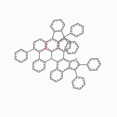 c1ccc(-c2ccccc2-c2ccccc2N(c2ccc3c(c2)C(c2ccccc2)(c2ccccc2)c2ccccc2-3)c2c(-c3ccccc3)n3nc(-c4ccccc4)c(-c4ccccc4)c3c3ccccc23)cc1